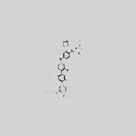 COC[C@H]1CN(c2cc(C)c3c4c(c(=O)oc3c2C)CN(C(=O)c2ccc(C(=O)NS(=O)(=O)N(C)C)c(N3CCC(C)(C)C3)c2)CC4)CCN1C